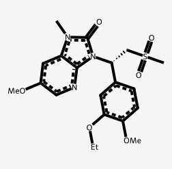 CCOc1cc([C@@H](CS(C)(=O)=O)n2c(=O)n(C)c3cc(OC)cnc32)ccc1OC